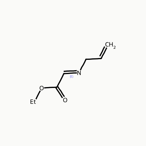 C=CC/N=C/C(=O)OCC